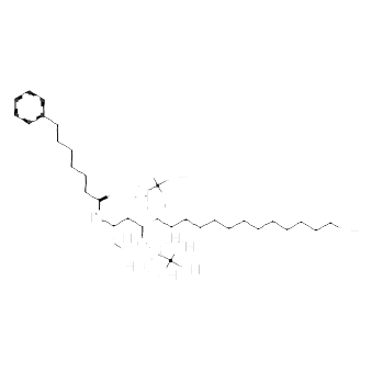 CCCCCCCCCCCCCC[C@@H](O[Si](C)(C)C(C)(C)C)[C@@H](O[Si](C)(C)C(C)(C)C)[C@H](CO)NC(=O)CCCCCCc1ccccc1